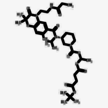 CCC(=O)NCCN1C(=O)C(C)(C)Oc2cc(C)c(C(=O)N(C(C)C)[C@@H]3CCCN(C(=O)OC(C)OC(=O)CCC(=O)OC(C)(C)C)C3)cc21